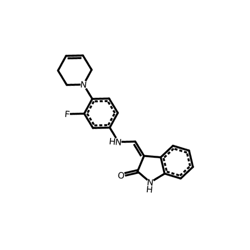 O=C1Nc2ccccc2C1=CNc1ccc(N2CC=CCC2)c(F)c1